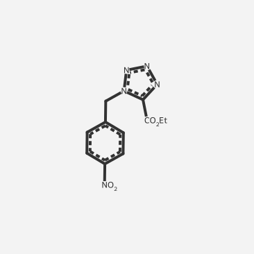 CCOC(=O)c1nnnn1Cc1ccc([N+](=O)[O-])cc1